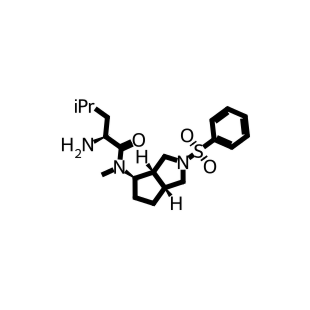 CC(C)C[C@H](N)C(=O)N(C)[C@@H]1CC[C@H]2CN(S(=O)(=O)c3ccccc3)C[C@H]21